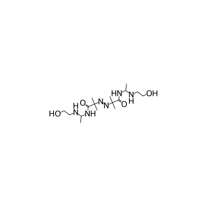 CC(NCCO)NC(=O)C(C)(C)/N=N/C(C)(C)C(=O)NC(C)NCCO